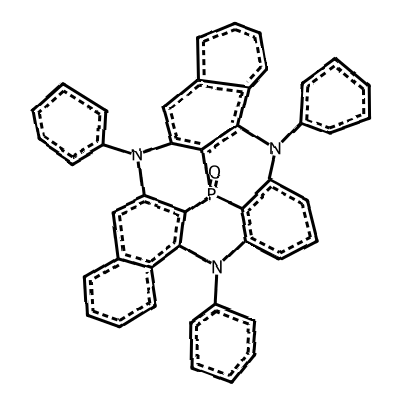 O=P12c3c4cccc3N(c3ccccc3)c3c1c(cc1ccccc31)N(c1ccccc1)c1cc3ccccc3c(c12)N4c1ccccc1